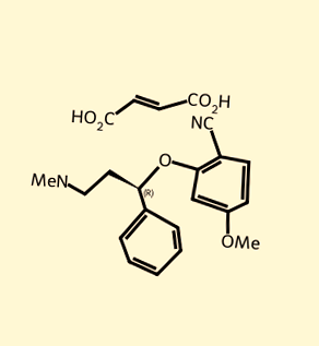 CNCC[C@@H](Oc1cc(OC)ccc1C#N)c1ccccc1.O=C(O)C=CC(=O)O